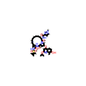 Cc1c(O)ccc2c(O[C@@H]3C[C@H]4C(=O)N[C@]5(C(=O)NS(=O)(=O)C6(C)CC6)CC5/C=C\CCCCC[C@H](NC(=O)c5ccn(C)n5)C(=O)N4C3)cc(OC(C)C)nc12